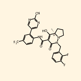 C[C@]12CCCN1N(Cc1cccc(F)c1F)C(=O)C(C(=O)Nc1ccc(C(F)(F)F)cc1-c1cnc(C#N)nc1)=C2O